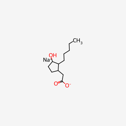 CCCCCC1C(O)CCC1CC(=O)[O-].[Na+]